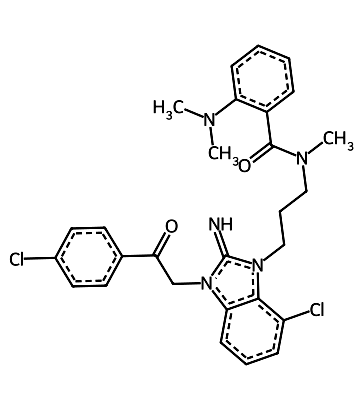 CN(CCCn1c(=N)n(CC(=O)c2ccc(Cl)cc2)c2cccc(Cl)c21)C(=O)c1ccccc1N(C)C